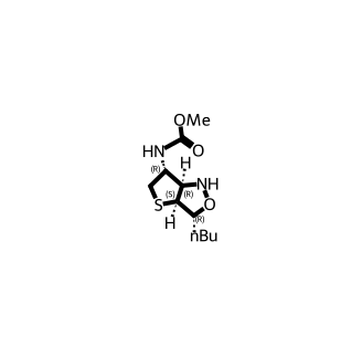 CCCC[C@H]1ON[C@H]2[C@@H]1SC[C@@H]2NC(=O)OC